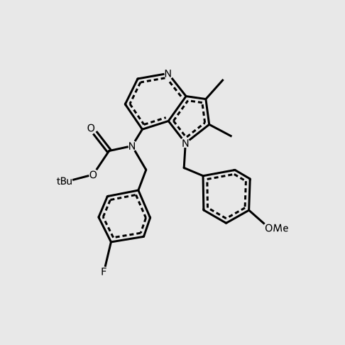 COc1ccc(Cn2c(C)c(C)c3nccc(N(Cc4ccc(F)cc4)C(=O)OC(C)(C)C)c32)cc1